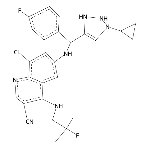 CC(C)(F)CNc1c(C#N)cnc2c(Cl)cc(NC(C3=CN(C4CC4)NN3)c3ccc(F)cc3)cc12